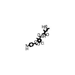 CN/C(C)=C\C(C)=C(/C=O)CNC(=O)c1cc(Cl)c2c(c1C)OC(C1CCC(NC)CC1)CO2